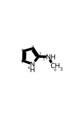 CNc1ccc[nH]1